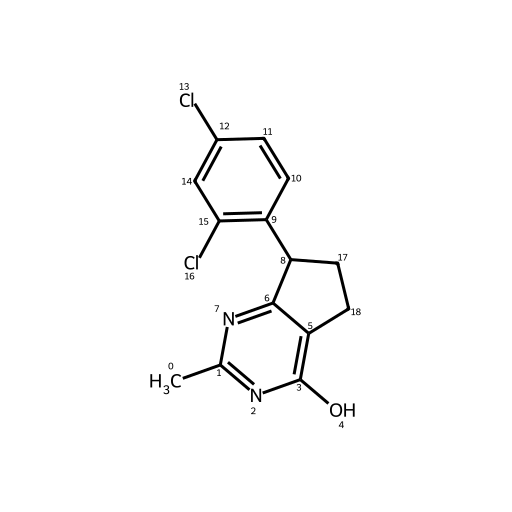 Cc1nc(O)c2c(n1)C(c1ccc(Cl)cc1Cl)CC2